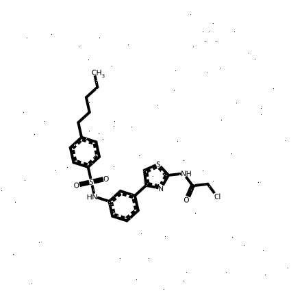 CCCCCc1ccc(S(=O)(=O)Nc2cccc(-c3csc(NC(=O)CCl)n3)c2)cc1